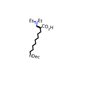 CCCCCCCCCCCCCCCCCCC(=CN(CC)CC)C(=O)O